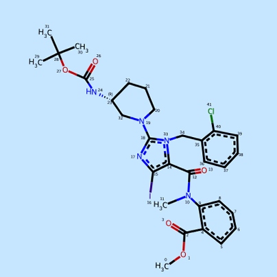 COC(=O)c1ccccc1N(C)C(=O)c1c(I)nc(N2CCC[C@@H](NC(=O)OC(C)(C)C)C2)n1Cc1ccccc1Cl